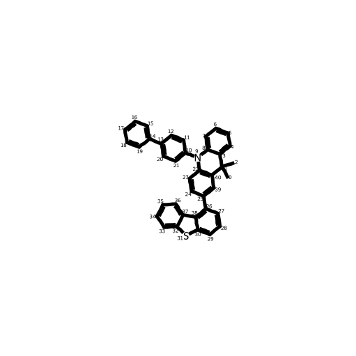 CC1(C)c2ccccc2N(c2ccc(-c3ccccc3)cc2)c2ccc(-c3cccc4sc5ccccc5c34)cc21